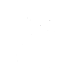 CO[Si](OC)(C(C)C)C(C(=O)C(C)C)C(=O)C(C)C.CO[Si](OC)(C(C)C)C(C(=O)C(C)C)C(=O)C(C)C.[Pt+2]